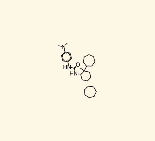 CN(C)c1ccc(NC(=O)N[C@H]2C[C@@H](C3CCCCCC3)CCC2(C)C2CCCCCC2)cc1